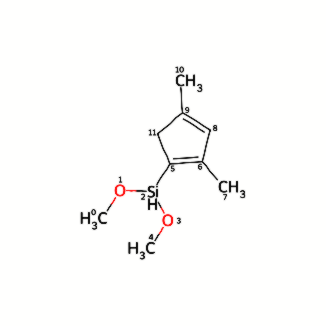 CO[SiH](OC)C1=C(C)C=C(C)C1